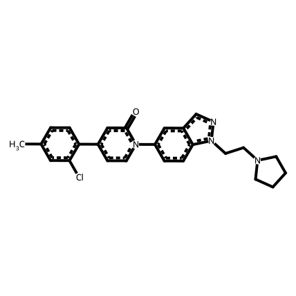 Cc1ccc(-c2ccn(-c3ccc4c(cnn4CCN4CCCC4)c3)c(=O)c2)c(Cl)c1